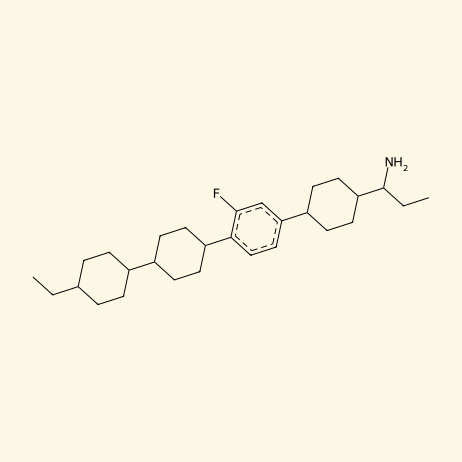 CCC1CCC(C2CCC(c3ccc(C4CCC(C(N)CC)CC4)cc3F)CC2)CC1